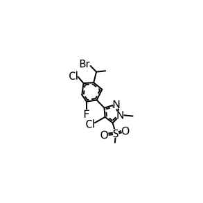 CC(Br)c1cc(-c2nn(C)c(S(C)(=O)=O)c2Cl)c(F)cc1Cl